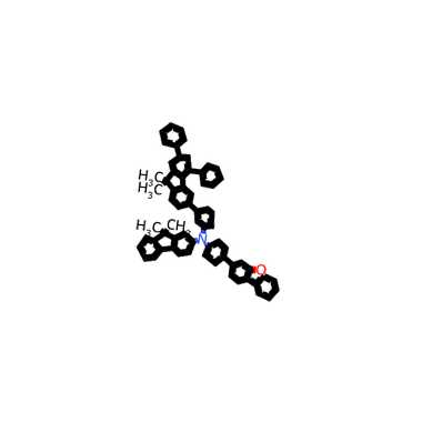 CC1(C)c2ccccc2-c2ccc(N(c3ccc(-c4ccc5c(c4)oc4ccccc45)cc3)c3cccc(-c4ccc5c(c4)-c4c(-c6ccccc6)cc(-c6ccccc6)cc4C5(C)C)c3)cc21